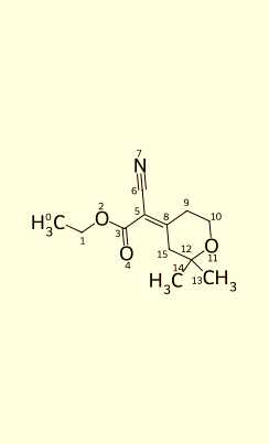 CCOC(=O)C(C#N)=C1CCOC(C)(C)C1